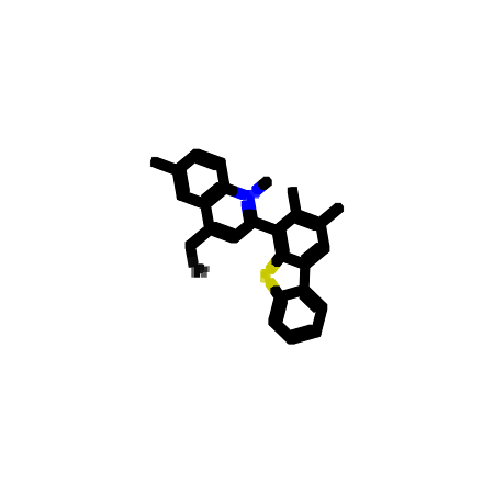 Cc1ccc2c(c1)c(CC(C)C)cc(-c1c(C)c(C)cc3c1sc1ccccc13)[n+]2C